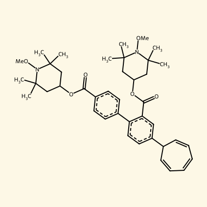 CON1C(C)(C)CC(OC(=O)c2ccc(-c3ccc(C4C=CC=CC=C4)cc3C(=O)OC3CC(C)(C)N(OC)C(C)(C)C3)cc2)CC1(C)C